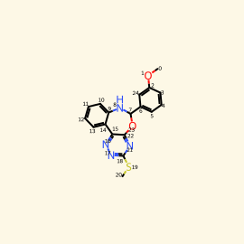 COc1cccc(C2Nc3ccccc3-c3nnc(SC)nc3O2)c1